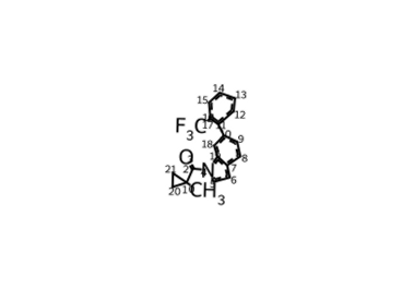 CC1(C(=O)n2ccc3ccc(-c4ccccc4C(F)(F)F)cc32)CC1